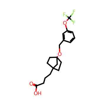 O=C(O)CCCC12CCC(OCc3cccc(OC(F)(F)F)c3)(CC1)C2